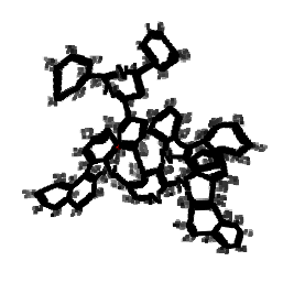 c1ccc(-c2cc(-c3ccc(-c4c(-n5c6ccccc6c6c7ccccc7ccc65)cnc(-n5c6ccccc6c6c7ccccc7ccc65)c4-n4c5ccccc5c5c6ccccc6ccc54)cc3)nc(-c3ccccc3)n2)cc1